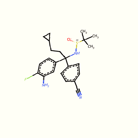 CC(C)(C)[S@@+]([O-])NC(CCC1CC1)(c1ccc(C#N)cc1)c1ccc(F)c(N)c1